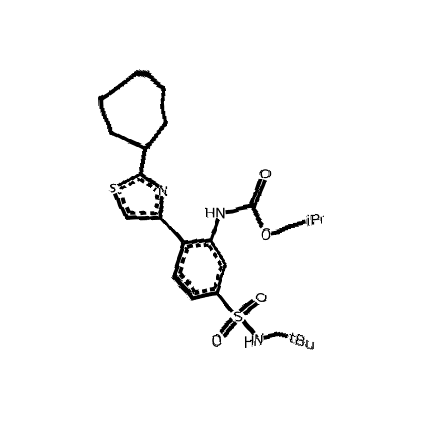 CC(C)OC(=O)Nc1cc(S(=O)(=O)NC(C)(C)C)ccc1-c1csc([C]2CCCCC2)n1